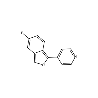 Fc1ccc2c(-c3ccncc3)occ2c1